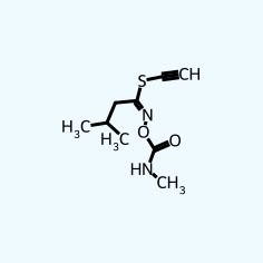 C#CSC(CC(C)C)=NOC(=O)NC